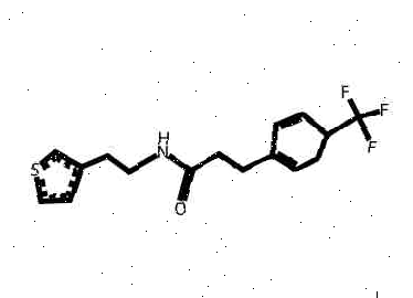 O=C(CCC1=CCC(C(F)(F)F)C=C1)NCCc1ccsc1